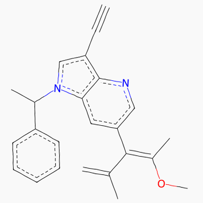 C#Cc1cn(C(C)c2ccccc2)c2cc(/C(C(=C)C)=C(\C)OC)cnc12